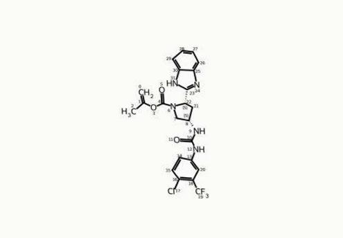 C=C(C)OC(=O)N1C[C@@H](NC(=O)Nc2ccc(Cl)c(C(F)(F)F)c2)C[C@H]1c1nc2ccccc2[nH]1